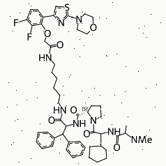 CNC(C)C(=O)NC(C(=O)N1CCC[C@H]1C(=O)NC(C(=O)NCCCCCCNC(=O)COc1c(-c2csc(N3CCOCC3)n2)ccc(F)c1F)C(c1ccccc1)c1ccccc1)C1CCCCC1